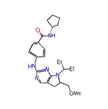 CCC(CC)N1c2nc(Nc3ccc(C(=O)NC4CCCC4)cc3)ncc2CC1COC